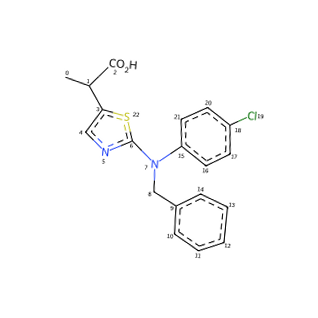 CC(C(=O)O)c1cnc(N(Cc2ccccc2)c2ccc(Cl)cc2)s1